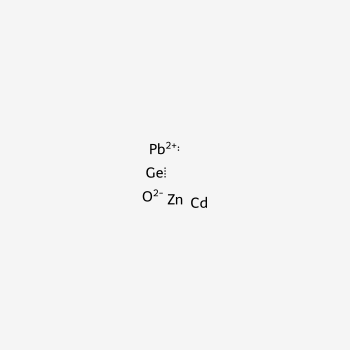 [Cd].[Ge].[O-2].[Pb+2].[Zn]